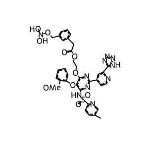 COc1ccccc1Oc1c(NS(=O)(=O)c2ccc(C)cn2)nc(-c2ccnc(-c3nnn[nH]3)c2)nc1OCCOC(=O)Cc1cccc(CON(O)O)c1